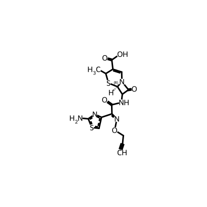 C#CCON=C(C(=O)NC1C(=O)N2C=C(C(=O)O)C(C)S[C@H]12)c1csc(N)n1